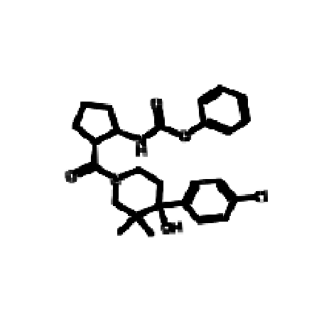 CC1(C)CN(C(=O)[C@H]2CCC[C@H]2NC(=O)Oc2ccccc2)CC[C@]1(O)c1ccc(Cl)cc1